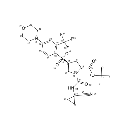 CC(C)(C)OC(=O)N1C[C@H](S(=O)(=O)c2ccc(N3CCOCC3)cc2C(F)(F)F)C[C@H]1C(=O)NC1(C#N)CC1